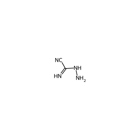 N#CC(=N)NN